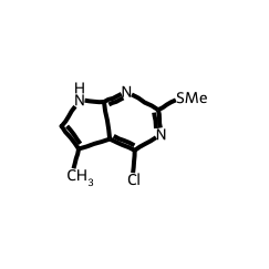 CSc1nc(Cl)c2c(C)c[nH]c2n1